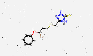 S=c1[nH]nc(CSCCC(Br)Oc2ccccc2)[nH]1